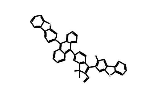 C=CC1=C(c2cc3sc4ccccc4c3cc2C)c2ccc(-c3c4ccccc4c(-c4ccc5c(c4)sc4ccccc45)c4ccccc34)cc2C1(C)C